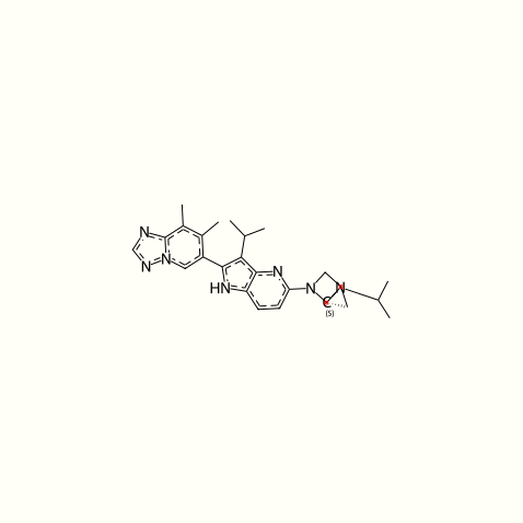 Cc1c(-c2[nH]c3ccc(N4CC56C[C@@]45CN6C(C)C)nc3c2C(C)C)cn2ncnc2c1C